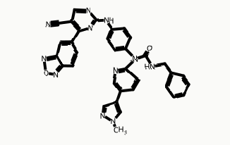 Cn1cc(-c2ccc(N(C(=O)NCc3ccccc3)c3ccc(Nc4ncc(C#N)c(-c5ccc6nonc6c5)n4)cc3)nc2)cn1